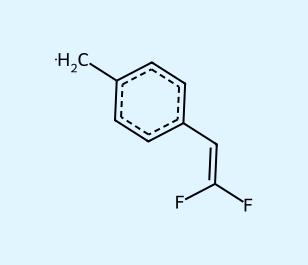 [CH2]c1ccc(C=C(F)F)cc1